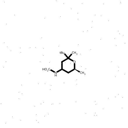 C[C@H]1CC(NC(=O)O)CC(C)(C(C)(C)C)O1